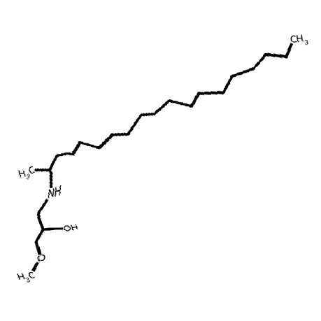 CCCCCCCCCCCCCCCCCC(C)NCC(O)COC